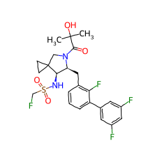 CC(C)(O)C(=O)N1CC2(CC2)[C@H](NS(=O)(=O)CF)[C@@H]1Cc1cccc(-c2cc(F)cc(F)c2)c1F